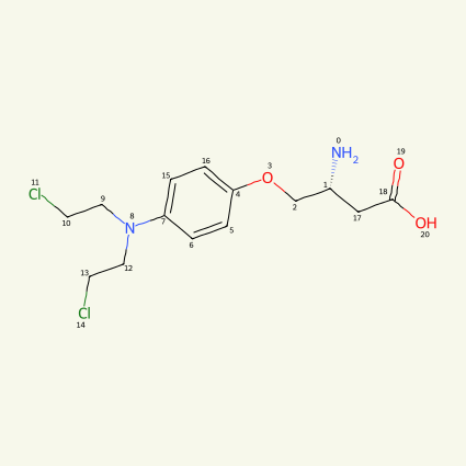 N[C@@H](COc1ccc(N(CCCl)CCCl)cc1)CC(=O)O